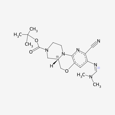 CN(C)/C=N\c1cc2c(nc1C#N)N1CCN(C(=O)OC(C)(C)C)C[C@H]1CO2